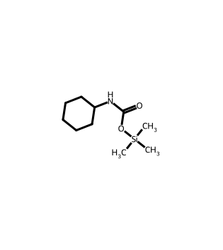 C[Si](C)(C)OC(=O)NC1CCCCC1